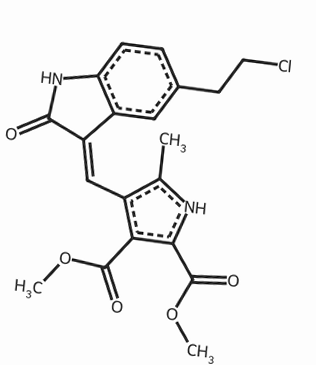 COC(=O)c1[nH]c(C)c(C=C2C(=O)Nc3ccc(CCCl)cc32)c1C(=O)OC